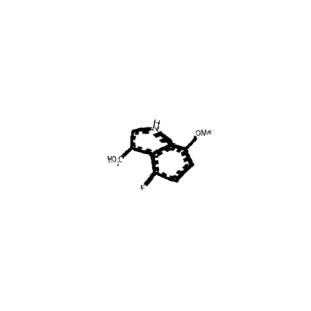 COc1ccc(F)c2c(C(=O)O)c[nH]c12